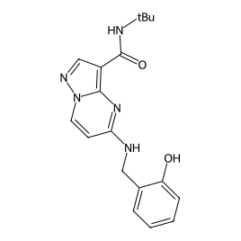 CC(C)(C)NC(=O)c1cnn2ccc(NCc3ccccc3O)nc12